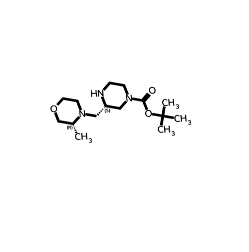 C[C@@H]1COCCN1C[C@H]1CN(C(=O)OC(C)(C)C)CCN1